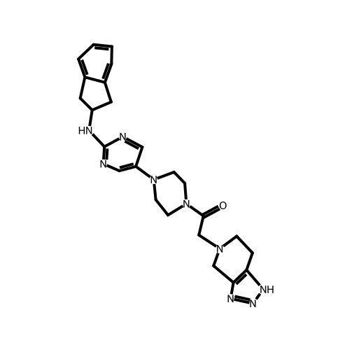 O=C(CN1CCc2[nH]nnc2C1)N1CCN(c2cnc(NC3Cc4ccccc4C3)nc2)CC1